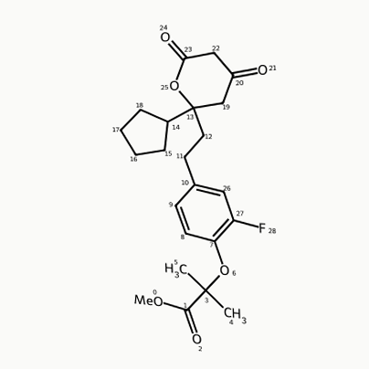 COC(=O)C(C)(C)Oc1ccc(CCC2(C3CCCC3)CC(=O)CC(=O)O2)cc1F